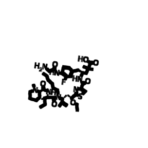 C=C(C)[C@@H](C[C@@H](OCC)c1nc(C(=O)N[C@@H](Cc2ccc(NC(=O)CN)c(F)c2)CC(C)(C)C(=O)O)cs1)N(CCCCCC)C(=O)[C@@H](NC(=O)[C@H]1CCCCN1C)[C@@H](C)CC